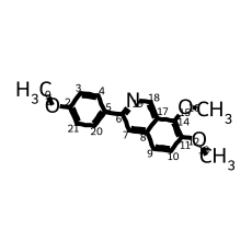 COc1ccc(-c2cc3ccc(OC)c(OC)c3cn2)cc1